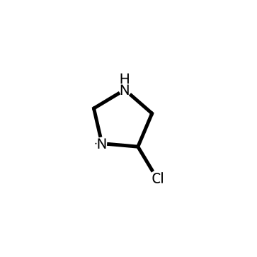 ClC1CNC[N]1